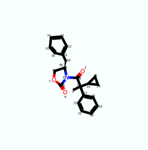 CC(C(=O)N1C(=O)OC[C@H]1Cc1ccccc1)(c1ccccc1)C1CC1